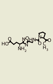 CC(=O)C1CCCN1C(=O)NCc1nc([C@@H](N)CCC(=O)O)no1